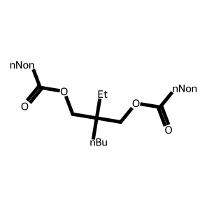 CCCCCCCCCC(=O)OCC(CC)(CCCC)COC(=O)CCCCCCCCC